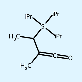 CC(=C=O)C(C)[Si](C(C)C)(C(C)C)C(C)C